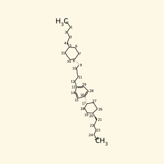 CCCCC[C@H]1CC[C@H](CCCCc2ccc([C@H]3CC[C@H](CCCCC)CC3)cc2)CC1